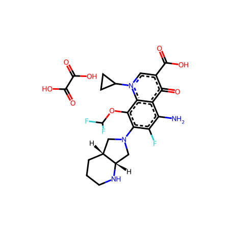 Nc1c(F)c(N2C[C@H]3CCCN[C@H]3C2)c(OC(F)F)c2c1c(=O)c(C(=O)O)cn2C1CC1.O=C(O)C(=O)O